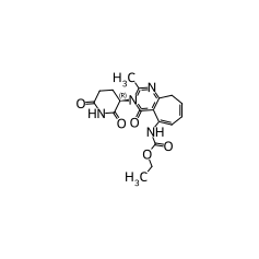 CCOC(=O)NC1=CC=CCc2nc(C)n([C@@H]3CCC(=O)NC3=O)c(=O)c21